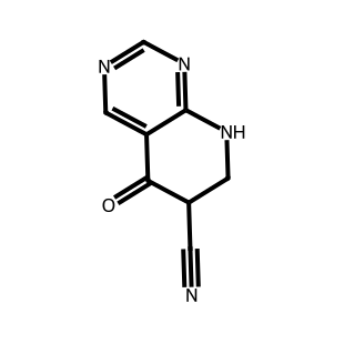 N#CC1CNc2ncncc2C1=O